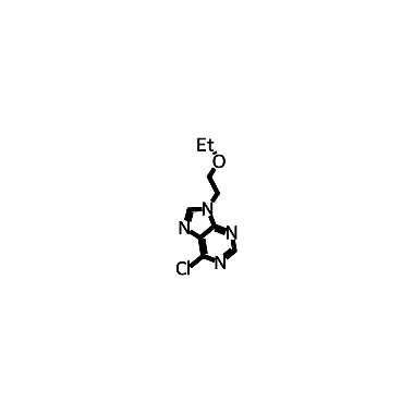 CCOCCn1cnc2c(Cl)ncnc21